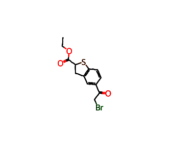 CCOC(=O)C1Cc2cc(C(=O)CBr)ccc2S1